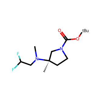 CN(CC(F)F)[C@]1(C)CCN(C(=O)OC(C)(C)C)C1